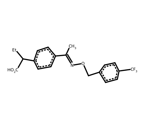 CCC(C(=O)O)c1ccc(/C(C)=N/OCc2ccc(C(F)(F)F)cc2)cc1